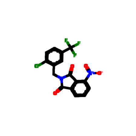 O=C1c2cccc([N+](=O)[O-])c2C(=O)N1Cc1cc(C(F)(F)F)ccc1Cl